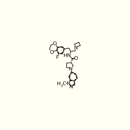 Cn1ncc2ccc(N3CC[C@@H](C(=O)NC(Cc4cc(F)c5c(c4)OCCO5)CN4CCC4)C3)cc21